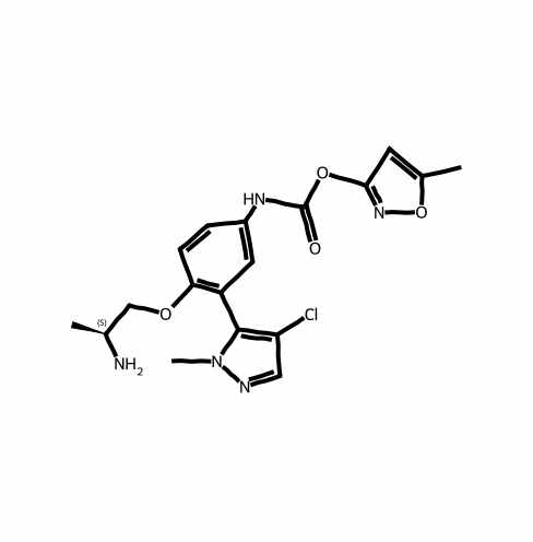 Cc1cc(OC(=O)Nc2ccc(OC[C@H](C)N)c(-c3c(Cl)cnn3C)c2)no1